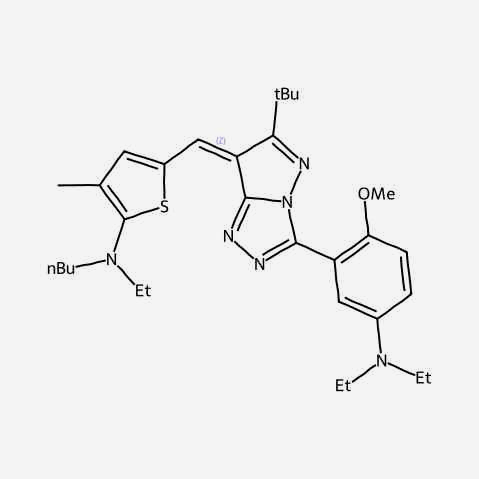 CCCCN(CC)c1sc(/C=c2/c(C(C)(C)C)nn3c(-c4cc(N(CC)CC)ccc4OC)nnc23)cc1C